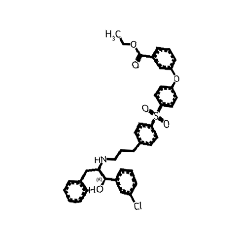 CCOC(=O)c1cccc(Oc2ccc(S(=O)(=O)c3ccc(CCCNC(Cc4ccccc4)[C@H](O)c4cccc(Cl)c4)cc3)cc2)c1